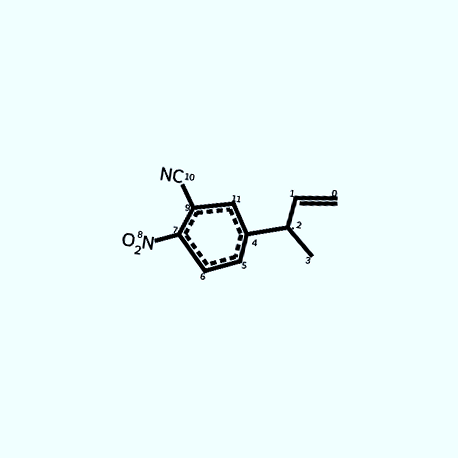 C=C[C](C)c1ccc([N+](=O)[O-])c(C#N)c1